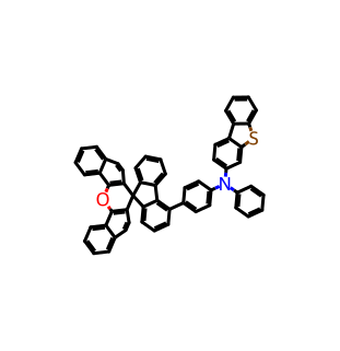 c1ccc(N(c2ccc(-c3cccc4c3-c3ccccc3C43c4ccc5ccccc5c4Oc4c3ccc3ccccc43)cc2)c2ccc3c(c2)sc2ccccc23)cc1